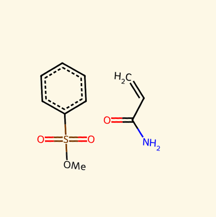 C=CC(N)=O.COS(=O)(=O)c1ccccc1